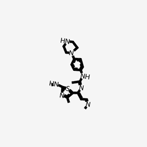 C\N=C/C=C(\N=C(/C)Nc1ccc(N2CCNCC2)cc1)c1sc(NC)nc1C